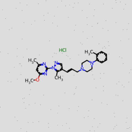 COc1cc(C)nc(-n2ncc(/C=C/CN3CCN(c4ccccc4C)CC3)c2C)n1.Cl